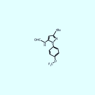 CC(C)(C)c1cc(NC=O)n(-c2ccc(OC(F)(F)F)cc2)n1